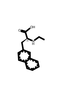 CCN[C@@H](Cc1ccc2ccccc2c1)C(=O)O